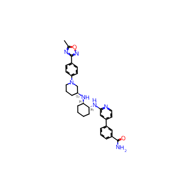 Cc1nc(-c2ccc(N3CCC[C@H](N[C@@H]4CCCC[C@H]4Nc4cc(-c5cccc(C(N)=O)c5)ccn4)C3)cc2)no1